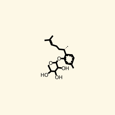 CC(C)=CCC[C@H](C)c1ccc(C)cc1OC1OCC(O)C(O)C1O